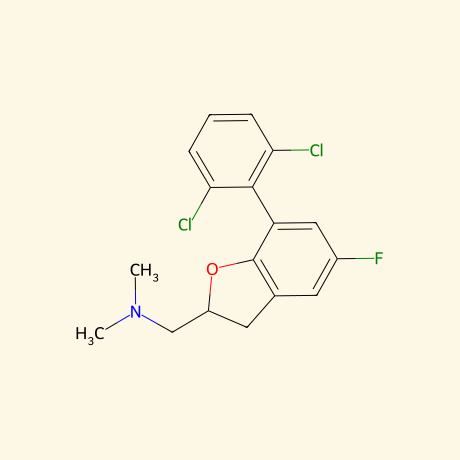 CN(C)CC1Cc2cc(F)cc(-c3c(Cl)cccc3Cl)c2O1